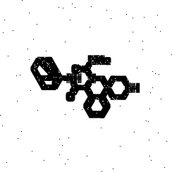 CNC(=O)N1CC2(CCNCC2)c2ccccc2C1C(=O)NC1C2CC3CC(C2)CC1C3